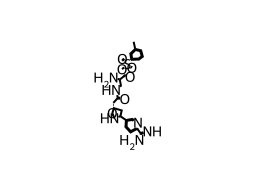 Cc1cccc(S(=O)(=O)OC(=O)C(N)CNC(=O)C[C@@H]2CC(c3ccc(C(=N)N)nc3)NO2)c1